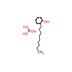 CCCCCCCCCc1ccccc1O.OB(O)O